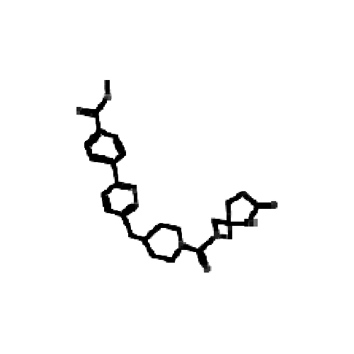 COC(=O)c1ccc(-c2ccc(CC3CCN(C(=O)N4CC5(CCC(=O)N5)C4)CC3)cc2)cc1